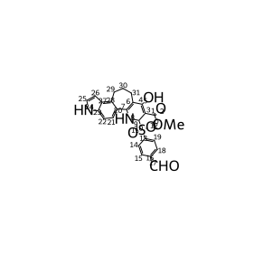 COC(=O)C1=C(O)C2=C(NC1S(=O)(=O)c1ccc(C=O)cc1)c1ccc3[nH]ccc3c1CCC2